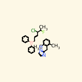 CC(F)C(Cl)C=CCB(c1ccccc1)c1ccccc1.Cc1cccc(C)c1Cc1ncc[nH]1